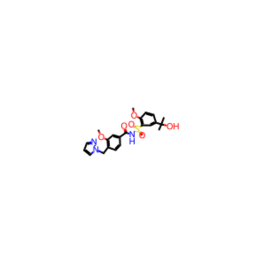 COc1cc(C(=O)NS(=O)(=O)c2cc(C(C)(C)O)ccc2OC)ccc1Cn1cccn1